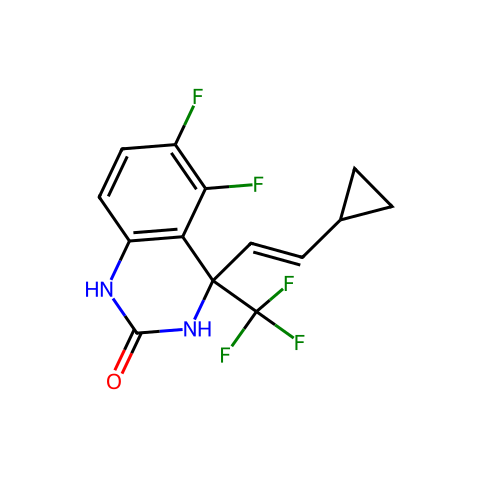 O=C1Nc2ccc(F)c(F)c2C(C=CC2CC2)(C(F)(F)F)N1